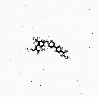 CCc1cc2c(C(F)(F)F)cc(CN3CC=C(c4ccc(C(=O)NC)nc4)CC3)cc2[nH]c1=O